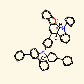 CC12C(c3ccc(N(c4ccc(-c5ccccc5)cc4-c4ccccc4)C4(C)C=CC(c5ccccc5)=CC4)cc3)=Cc3c(oc4ccccc34)[C@@H]1N(c1ccccc1)c1ccccc12